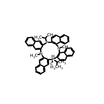 CC(C)P1c2cc3ccccc3cc2N(C)c2cc3ccccc3cc2[PH](C)(C(C)C)c2ccc3ccccc3c2N(C)c2c1ccc1ccccc21